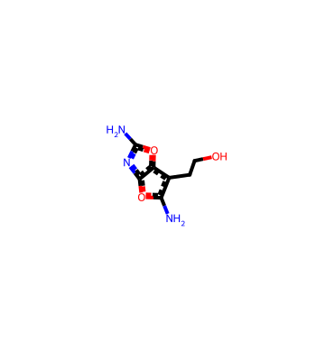 Nc1nc2oc(N)c(CCO)c2o1